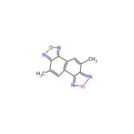 Cc1cc2c(cc(C)c3nonc32)c2nonc12